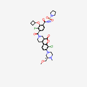 COC[C@H]1CN(c2ccc3c4c(c(=O)oc3c2Cl)CN(C(=O)c2ccc(C(=O)NS(=O)(=O)N3CCCC3)c(OC3CCC3)c2F)CC4)CCN1C